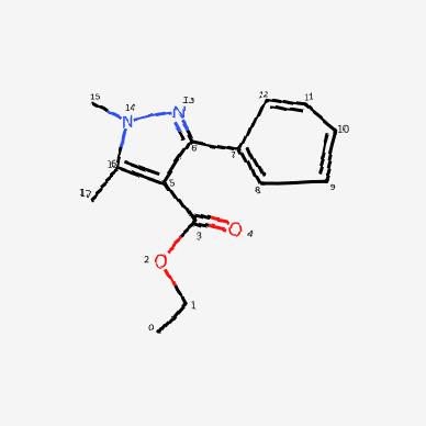 CCOC(=O)c1c(-c2ccccc2)nn(C)c1C